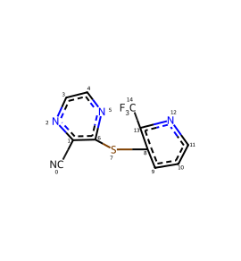 N#Cc1nccnc1Sc1cccnc1C(F)(F)F